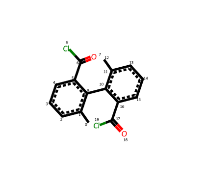 Cc1cccc(C(=O)Cl)c1-c1c(C)cccc1C(=O)Cl